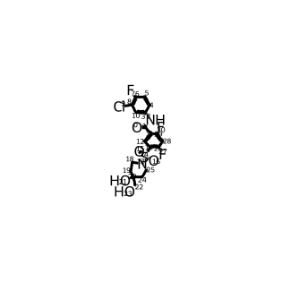 O=C(Nc1ccc(F)c(Cl)c1)c1cc(S(=O)(=O)N2CCC(O)(CO)CC2)c(F)cc1F